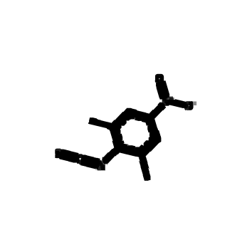 Cc1cc([N+](=O)[O-])cc(C)c1N=C=S